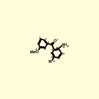 COc1cccc(C(=O)c2cc(Br)ccc2N)c1